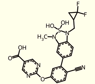 CN1c2cc(-c3cc(Oc4ncc(C(=O)O)cn4)ccc3C#N)ccc2N(CC2CC2(F)F)S1(O)O